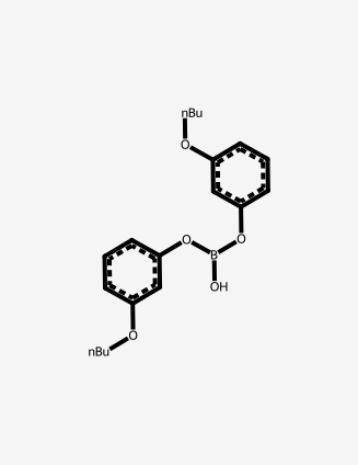 CCCCOc1cccc(OB(O)Oc2cccc(OCCCC)c2)c1